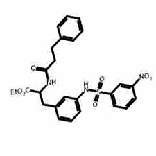 CCOC(=O)C(Cc1cccc(NS(=O)(=O)c2cccc([N+](=O)[O-])c2)c1)NC(=O)CCc1ccccc1